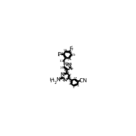 N#Cc1cccc(-c2cc(-c3cn(Cc4ccc(F)cc4F)nn3)nc(N)n2)c1